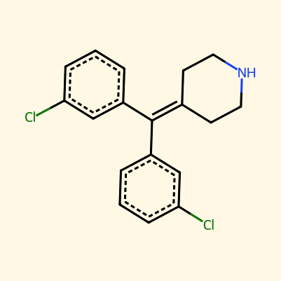 Clc1cccc(C(=C2CCNCC2)c2cccc(Cl)c2)c1